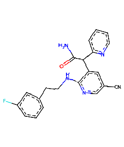 N#Cc1cnc(NCCc2cccc(F)c2)c(C(C(N)=O)c2ccccn2)c1